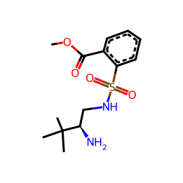 COC(=O)c1ccccc1S(=O)(=O)NC[C@@H](N)C(C)(C)C